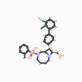 Cc1ccccc1S(=O)(=O)N1CCCCN2C(C1)[C@H](c1ccc(-c3cccc(F)c3C)cc1)[C@H]2CO